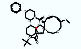 C=C1/C=C\C=C(\OC)COCC[C@]12CN(C(=O)OC(C)(C)C)C[C@H]2C(=O)N1CC[C@@H](c2ccccc2)C[C@H]1C1CCCC(F)(F)C1